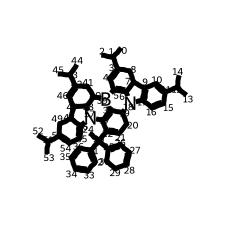 CC(C)C1=CC2=C3C(C1)c1cc(C(C)C)ccc1N3C1CC=C(C(C)(C3=CC=CCC3)c3ccccc3)C3=C1B2C1CC(C(C)C)=CC2C4CC(C(C)C)=CC=C4N3C12